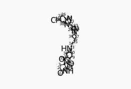 O=C1CCC(N2C(=O)c3ccc(NCCCC4CC(n5cc(-c6cnc7ccc(Cl)cc7n6)cn5)C4)cc3C2=O)C(=O)N1